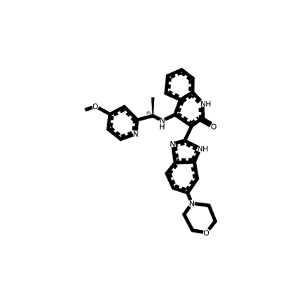 COc1ccnc([C@@H](C)Nc2c(-c3nc4ccc(N5CCOCC5)cc4[nH]3)c(=O)[nH]c3ccccc23)c1